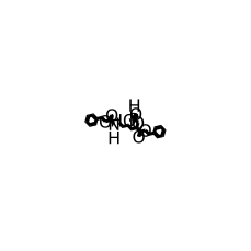 O=C(NCCCCC(O[PH](=O)O)C(=O)OCc1ccccc1)OCc1ccccc1